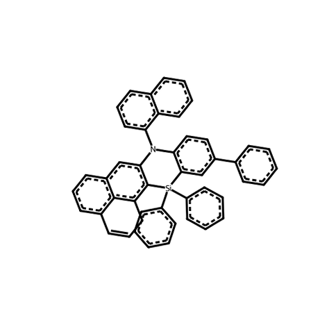 C1=Cc2cccc3cc4c(c(c23)C1)[Si](c1ccccc1)(c1ccccc1)c1cc(-c2ccccc2)ccc1N4c1cccc2ccccc12